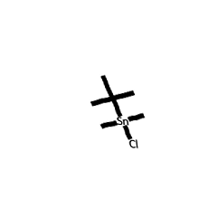 C[C](C)(C)[Sn]([CH3])([CH3])[Cl]